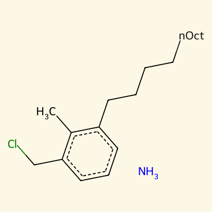 CCCCCCCCCCCCc1cccc(CCl)c1C.N